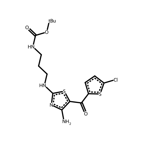 CC(C)(C)OC(=O)NCCCNc1nc(N)c(C(=O)c2ccc(Cl)s2)s1